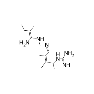 CC/C(C)=C(\N)NC/N=C\C(C)=C(\C)C(C)NC(=N)N